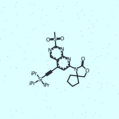 CC(C)[Si](C#Cc1cc(N2C(=O)OCC23CCCC3)nc2nc(S(C)(=O)=O)ncc12)(C(C)C)C(C)C